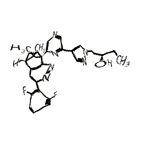 CC[C@@H](O)Cn1cc(-c2cncc([C@@]34CC[C@@H](c5cc(-c6c(F)cccc6F)nnc53)C4(C)C)n2)cn1